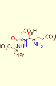 CC(C)C[C@H](NC(=O)[C@H](CC(=O)O)NC(=O)[C@@H](N)CCC(=O)O)C(=O)O